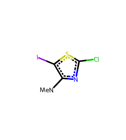 CNc1nc(Cl)sc1I